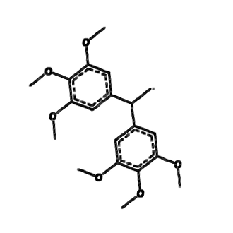 [CH2]C(c1cc(OC)c(OC)c(OC)c1)c1cc(OC)c(OC)c(OC)c1